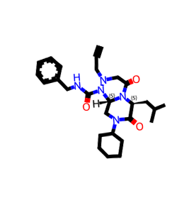 C#CCN1CC(=O)N2[C@@H](CC(C)C)C(=O)N(C3CCCCC3)C[C@@H]2N1C(=O)NCc1ccccc1